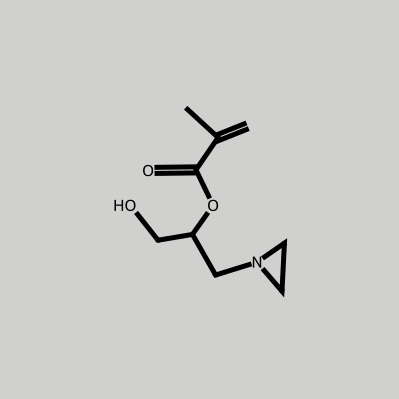 C=C(C)C(=O)OC(CO)CN1CC1